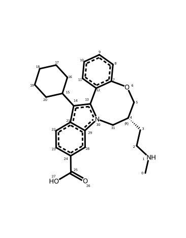 CNCC[C@H]1COc2ccccc2-c2c(C3CCCCC3)c3ccc(C(=O)O)cc3n2C1